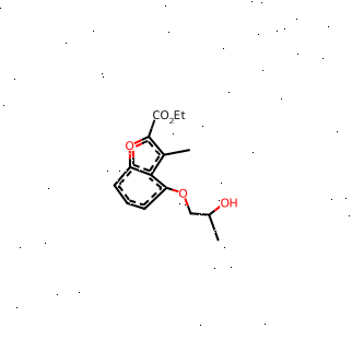 CCOC(=O)c1oc2cccc(OCC(C)O)c2c1C